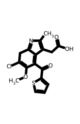 COC1=C(Cl)CC2=NC(C)=C(CC(=O)O)C2=C1C(=O)c1cccs1